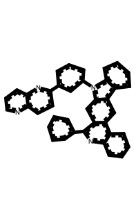 c1ccc(-c2nc3ccccc3c3cc4c5ccccc5n(-c5cccc(-c6ccc7ncccc7n6)c5)c4cc23)cc1